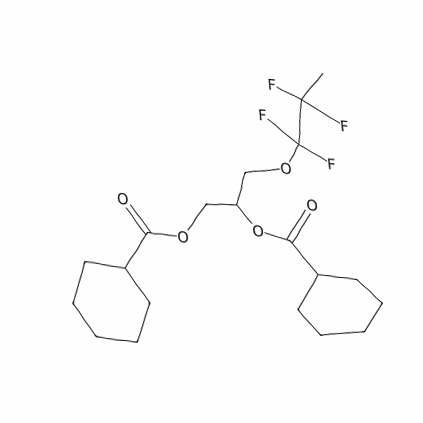 CC(F)(F)C(F)(F)OCC(COC(=O)C1CCCCC1)OC(=O)C1CCCCC1